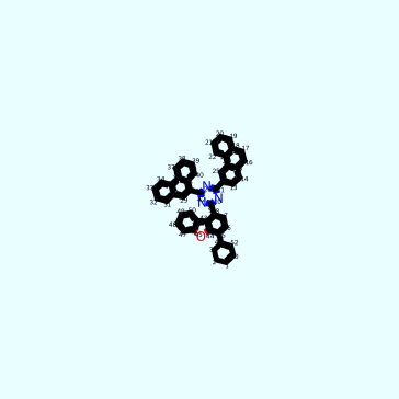 C1=CCCC(c2ccc(-c3nc(-c4ccc5ccc6ccccc6c5c4)nc(-c4cc5ccccc5c5ccccc45)n3)c3c2oc2ccccc23)=C1